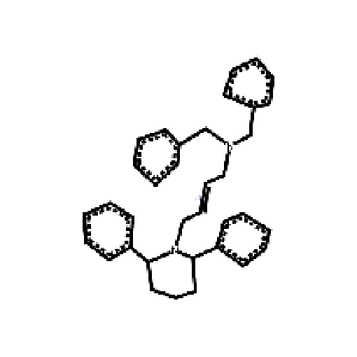 C(=C\CN1C(c2ccccc2)CCCC1c1ccccc1)/CN(Cc1ccccc1)Cc1ccccc1